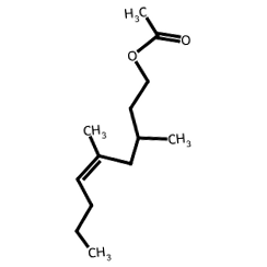 CCCC=C(C)CC(C)CCOC(C)=O